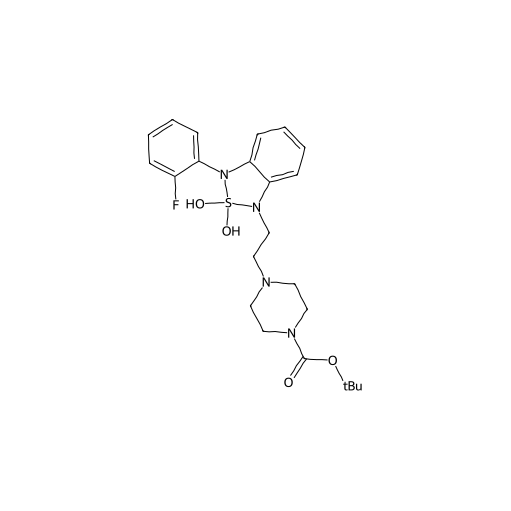 CC(C)(C)OC(=O)N1CCN(CCN2c3ccccc3N(c3ccccc3F)S2(O)O)CC1